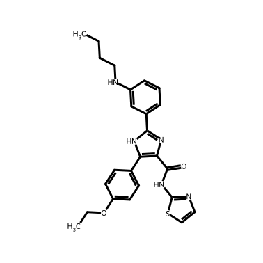 CCCCNc1cccc(-c2nc(C(=O)Nc3nccs3)c(-c3ccc(OCC)cc3)[nH]2)c1